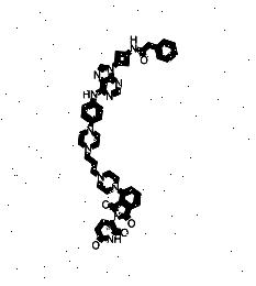 O=C1CC[C@H](N2C(=O)c3cccc(N4CCN(CCCN5CCN(c6ccc(Nc7ncnc8c7ncn8C7CC(NC(=O)Cc8ccccc8)C7)cc6)CC5)CC4)c3C2=O)C(=O)N1